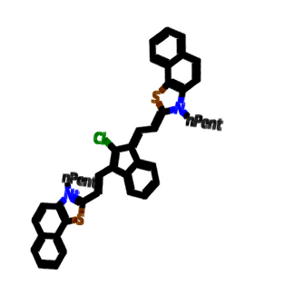 CCCCCN1/C(=C/C=C2C(Cl)=C(/C=C/c3sc4c5ccccc5ccc4[n+]3CCCCC)c3ccccc3/2)Sc2c1ccc1ccccc21